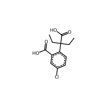 CCC(CC)(C(=O)O)c1ccc(Cl)cc1C(=O)O